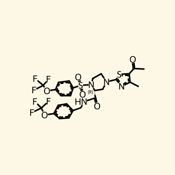 CC(=O)c1sc(N2CCN(S(=O)(=O)c3ccc(OC(F)(F)F)cc3)[C@@H](C(=O)NCc3ccc(OC(F)(F)F)cc3)C2)nc1C